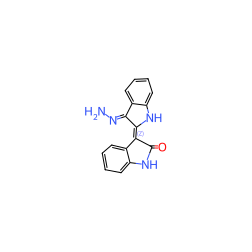 NN=C1/C(=C2/C(=O)Nc3ccccc32)Nc2ccccc21